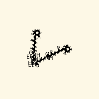 CCNC(=O)C(CCCCNC(=O)/C=C(C)/C=C/C=C(C)/C=C/C1=C(C)CCCC1(C)C)NC(=O)C(CC)NC(=O)/C=C(C)/C=C/C=C(C)/C=C/C1=C(C)CCCC1(C)C